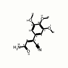 COc1cc(C(C#N)=CC(N)=O)cc(OC)c1OC